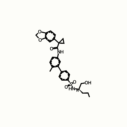 CCC[C@H](CO)NS(=O)(=O)c1ccc(-c2cc(NC(=O)C3(c4ccc5c(c4)OCO5)CC3)ccc2C)cc1